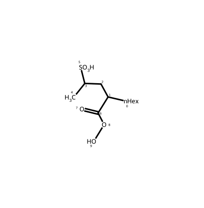 CCCCCCC(CC(C)S(=O)(=O)O)C(=O)OO